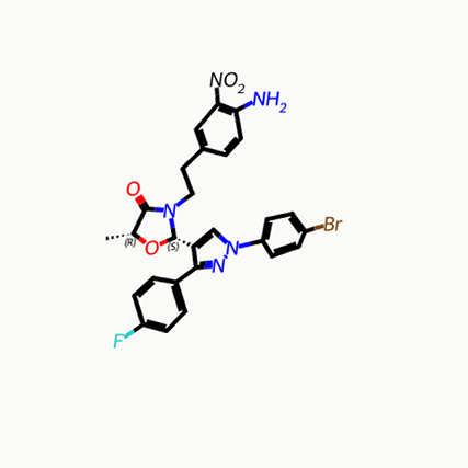 C[C@H]1O[C@@H](c2cn(-c3ccc(Br)cc3)nc2-c2ccc(F)cc2)N(CCc2ccc(N)c([N+](=O)[O-])c2)C1=O